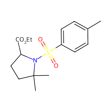 CCOC(=O)C1CCC(C)(C)N1S(=O)(=O)c1ccc(C)cc1